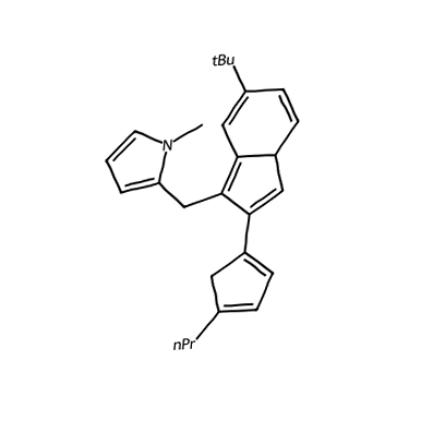 CCCC1=CC=C(C2=CC3C=CC(C(C)(C)C)=CC3=C2Cc2cccn2C)C1